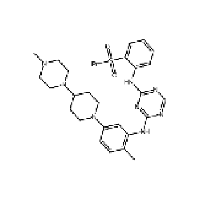 Cc1ccc(N2CCC(N3CCN(C)CC3)CC2)cc1Nc1ncnc(Nc2ccccc2S(=O)(=O)C(C)C)n1